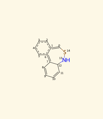 [C]1=c2ccccc2=C2C=CC=CC2NS1